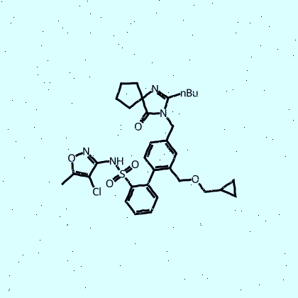 CCCCC1=NC2(CCCC2)C(=O)N1Cc1ccc(-c2ccccc2S(=O)(=O)Nc2noc(C)c2Cl)c(COCC2CC2)c1